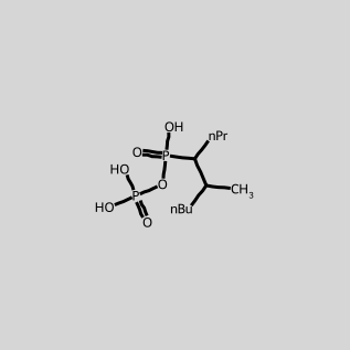 CCCCC(C)C(CCC)P(=O)(O)OP(=O)(O)O